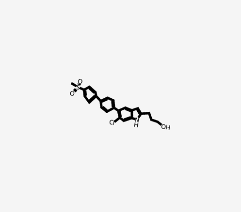 CS(=O)(=O)c1ccc(-c2ccc(-c3cc4cc(CCCO)[nH]c4cc3Cl)cc2)cc1